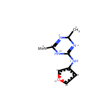 CNC1=NC(C)N=C(Nc2ccoc2)N1